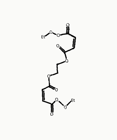 CCOOC(=O)/C=C\C(=O)OCCOC(=O)/C=C\C(=O)OOCC